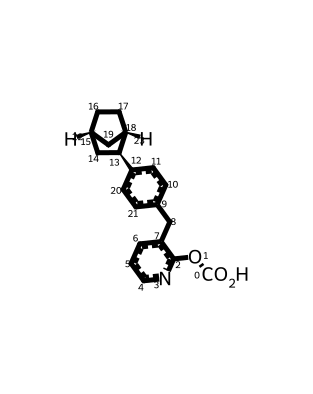 O=C(O)Oc1ncccc1Cc1ccc([C@H]2C[C@@H]3CC[C@H]2C3)cc1